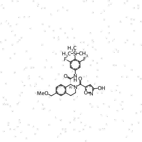 COCc1ccc2c(c1)CCN(C(=O)c1cc(O)no1)[C@H]2C(=O)Nc1cc(F)c([Si](C)(C)C)c(F)c1